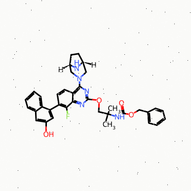 CC(C)(COc1nc(N2C[C@H]3CC[C@@H](C2)N3)c2ccc(-c3cc(O)cc4ccccc34)c(F)c2n1)NC(=O)OCc1ccccc1